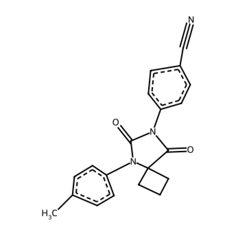 Cc1ccc(N2C(=O)N(c3ccc(C#N)cc3)C(=O)C23CCC3)cc1